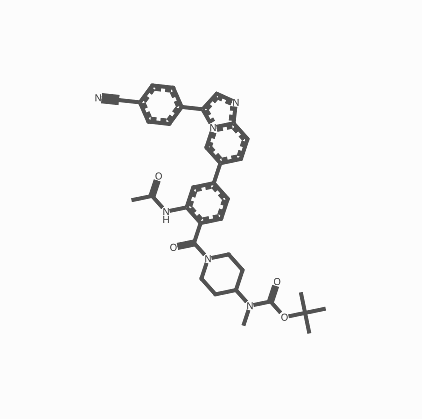 CC(=O)Nc1cc(-c2ccc3ncc(-c4ccc(C#N)cc4)n3c2)ccc1C(=O)N1CCC(N(C)C(=O)OC(C)(C)C)CC1